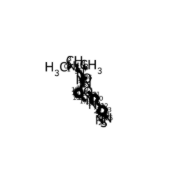 CCN(C)CCN(CC)c1nc(-c2cccc(Cn3nc(-c4ccc5nsnc5c4)ccc3=O)c2)no1